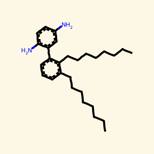 CCCCCCCCc1cccc(-c2cc(N)ccc2N)c1CCCCCCCC